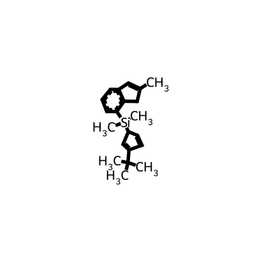 CC1=Cc2cccc([Si](C)(C)C3C=CC(C(C)(C)C)=C3)c2C1